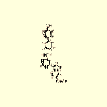 COc1ccn2c(-c3cc(NCc4ccc(-c5ccc(C)nn5)cc4)ncn3)cnc2c1